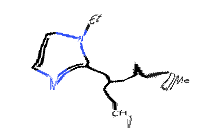 CCn1ccnc1C(C)COC